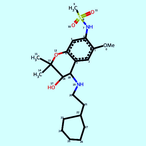 COc1cc2c(cc1NS(C)(=O)=O)OC(C)(C)C(O)C2NCCC1CCCCC1